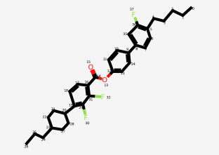 CCCCCc1ccc(-c2ccc(OC(=O)c3ccc(C4CCC(CCC)CC4)c(F)c3F)cc2)cc1F